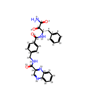 NC(=O)C(=O)[C@H](Cc1ccccc1)NC(=O)c1ccc(CNC(=O)c2cnc3ccccc3n2)cc1